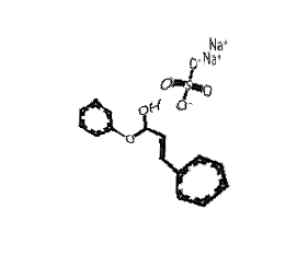 O=S(=O)([O-])[O-].OC(C=Cc1ccccc1)Oc1ccccc1.[Na+].[Na+]